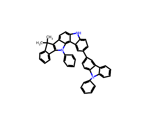 CC1(C)c2ccccc2-c2c1c1ccc3[nH]c4ccc(-c5ccc6c(c5)c5ccccc5n6-c5ccccc5)cc4c3c1n2-c1ccccc1